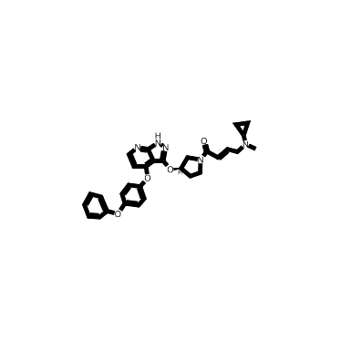 CN(C/C=C/C(=O)N1CC[C@@H](Oc2n[nH]c3nccc(Oc4ccc(Oc5ccccc5)cc4)c23)C1)C1CC1